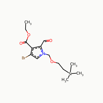 CCOC(=O)c1c(Br)cn(COCC[Si](C)(C)C)c1C=O